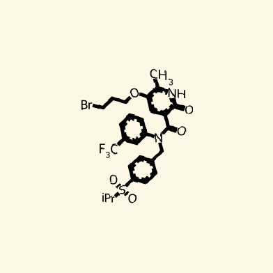 Cc1[nH]c(=O)c(C(=O)N(Cc2ccc(S(=O)(=O)C(C)C)cc2)c2cccc(C(F)(F)F)c2)cc1OCCCBr